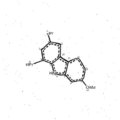 CCCc1cc(CCC)c2[nH]c3cc(OC)ccc3c2c1